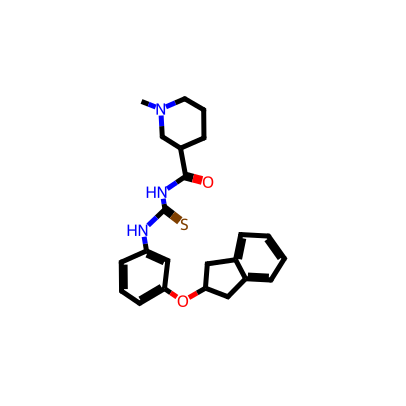 CN1CCCC(C(=O)NC(=S)Nc2cccc(OC3Cc4ccccc4C3)c2)C1